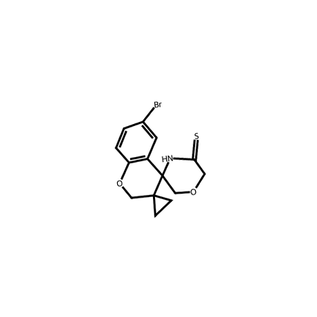 S=C1COCC2(N1)c1cc(Br)ccc1OCC21CC1